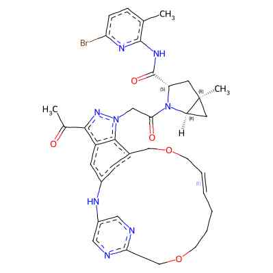 CC(=O)c1nn(CC(=O)N2[C@H](C(=O)Nc3nc(Br)ccc3C)C[C@@]3(C)C[C@@H]23)c2c3cc(cc12)Nc1cnc(nc1)COCCC/C=C/COC3